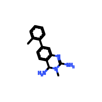 Cc1ccccc1-c1ccc2c(c1)N=C(N)N(C)C2N